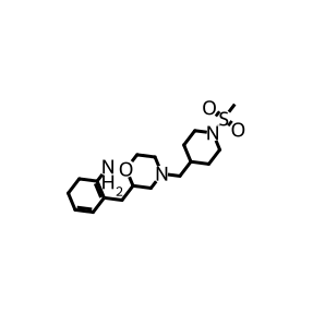 CS(=O)(=O)N1CCC(CN2CCOC(CC3=C(N)CCC=C3)C2)CC1